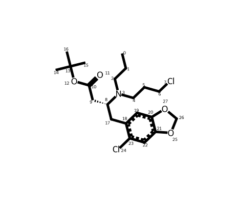 CCCN(CCCCl)[C@@H](CC(=O)OC(C)(C)C)Cc1cc2c(cc1Cl)OCO2